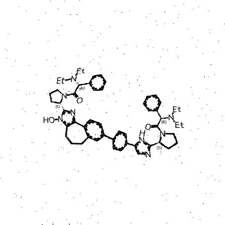 CCN(CC)[C@@H](C(=O)N1CCC[C@H]1c1ncc(-c2ccc(-c3ccc4c(c3)CCCc3c-4nc([C@@H]4CCCN4C(=O)[C@@H](c4ccccc4)N(CC)CC)n3O)cc2)[nH]1)c1ccccc1